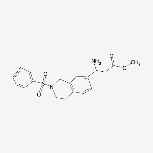 COC(=O)CC(N)c1ccc2c(c1)CN(S(=O)(=O)c1ccccc1)CC2